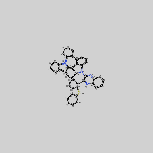 c1ccc2nc(-n3c4cccc5c6ccccc6n6c7ccccc7c7ccc3c(c54)c76)c(-c3cccc4c3sc3ccccc34)nc2c1